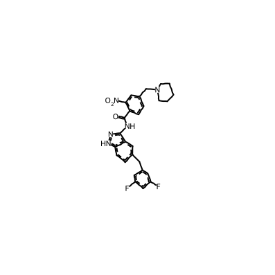 O=C(Nc1n[nH]c2ccc(Cc3cc(F)cc(F)c3)cc12)c1ccc(CN2CCCCC2)cc1[N+](=O)[O-]